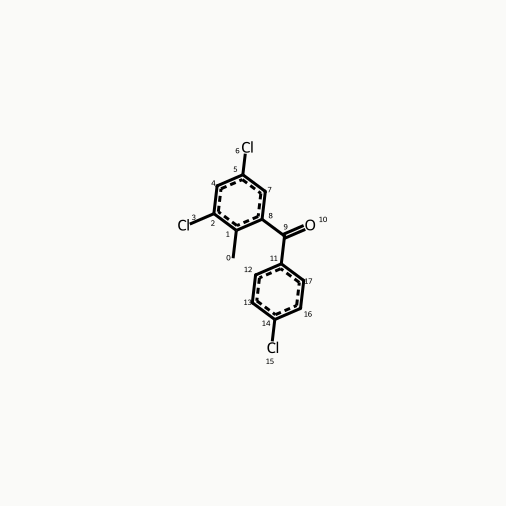 Cc1c(Cl)cc(Cl)cc1C(=O)c1ccc(Cl)cc1